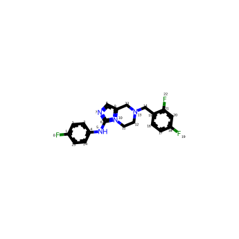 Fc1ccc(Nc2ncc3n2CCN(Cc2ccc(F)cc2F)C3)cc1